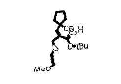 COCCOC/C(=C/C1(C(=O)O)CCCC1)C(=O)OC(C)(C)C